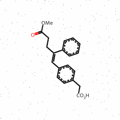 COC(=O)CCC(=Cc1ccc(CC(=O)O)cc1)c1ccccc1